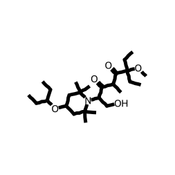 CCC(CC)OC1CC(C)(C)N(C(CO)C(=O)C(C)C(=O)C(CC)(CC)OC)C(C)(C)C1